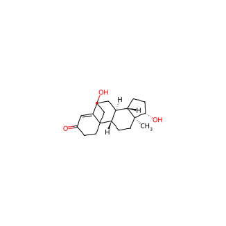 C[C@]12CC[C@H]3[C@@H](CCC4=CC(=O)CCC43CCO)[C@@H]1CC[C@@H]2O